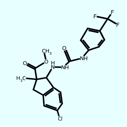 COC(=O)C1(C)Cc2cc(Cl)ccc2C1NNC(=O)Nc1ccc(C(F)(F)F)cc1